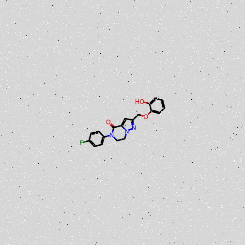 O=C1c2cc(COc3ccccc3O)nn2CCN1c1ccc(F)cc1